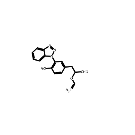 C=COC(C=O)Cc1ccc(O)c(-n2nnc3ccccc32)c1